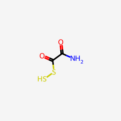 NC(=O)C(=O)SS